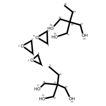 C1CO1.C1CO1.C1CO1.CCC(CO)(CO)CO.CCC(CO)(CO)CO